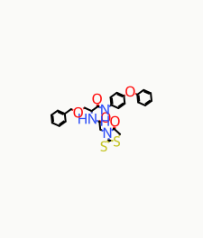 O=C(CN1C(=O)CSC1=S)NC(COCc1ccccc1)C(=O)Nc1ccc(Oc2ccccc2)cc1